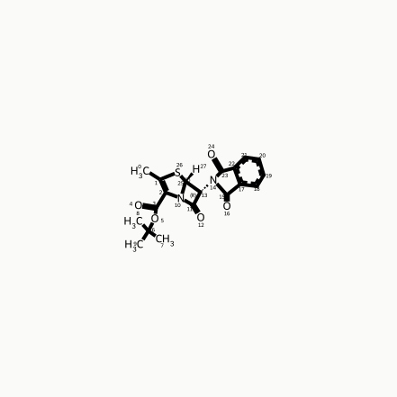 CC1=C(C(=O)OC(C)(C)C)N2C(=O)[C@@H](N3C(=O)c4ccccc4C3=O)[C@H]2S1